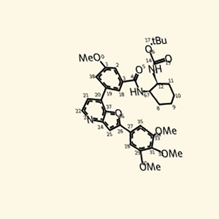 COc1cc(C(=O)N[C@@H]2CCCC[C@@H]2NC(=O)OC(C)(C)C)cc(-c2ccnc3cc(-c4cc(OC)c(OC)c(OC)c4)oc23)c1